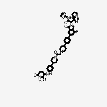 O=C1CCC(Nc2ccc(C3CCN(C(=O)CN4CCC(c5ccc(-c6cc(F)c7c(c6)C(=O)N(C(C(=O)Nc6nccs6)c6ncn8c6CCC8)C7)cc5)CC4)CC3)cc2)C(=O)N1